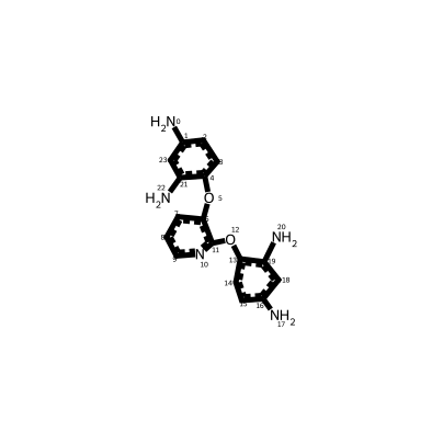 Nc1ccc(Oc2cccnc2Oc2ccc(N)cc2N)c(N)c1